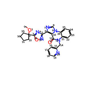 COC1(c2nc(-c3ncn4c3c(=O)n(Cc3ccccn3)c3ccccc34)no2)CCCC1